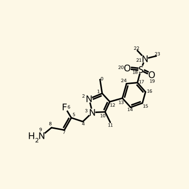 Cc1nn(CC(F)=CCN)c(C)c1-c1cccc(S(=O)(=O)N(C)C)c1